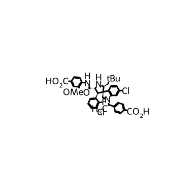 COc1cc(C(=O)O)ccc1NC(=O)[C@@H]1N[C@@H](CC(C)(C)C)[C@@]2(CN([C@@H](C)c3ccc(C(=O)O)cc3)c3cc(Cl)ccc32)[C@H]1c1cccc(Cl)c1F